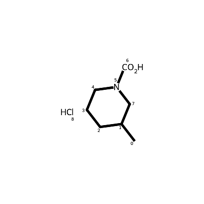 CC1CCCN(C(=O)O)C1.Cl